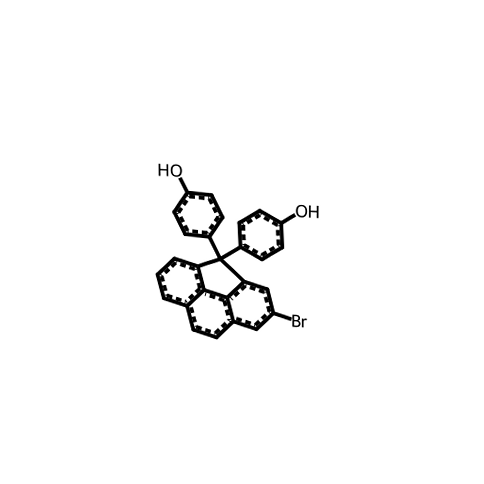 Oc1ccc(C2(c3ccc(O)cc3)c3cccc4ccc5cc(Br)cc2c5c34)cc1